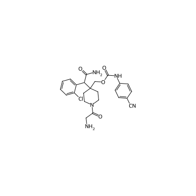 N#Cc1ccc(NC(=O)OCC2(C(C(N)=O)c3ccccc3Cl)CCN(C(=O)CN)CC2)cc1